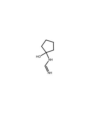 N=CNC1(O)CCCC1